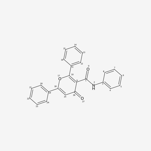 O=C(Nc1ccccc1)c1c(-c2ccccc2)oc(-c2ccccc2)cc1=O